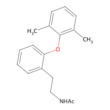 CC(=O)NCCc1ccccc1Oc1c(C)cccc1C